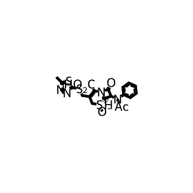 CC(=O)N(c1ccccc1)C1C(=O)N2C(C(=O)O)=C(CSc3nnc(C)s3)C[S+]([O-])[C@@H]12